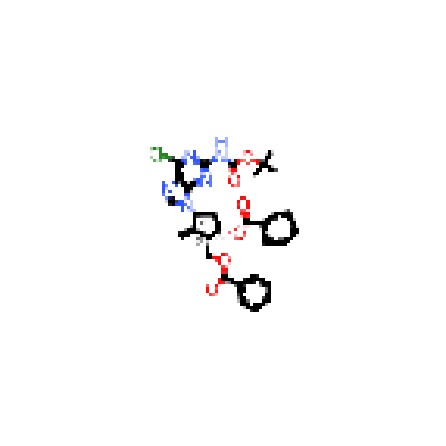 C=C1[C@H](COC(=O)c2ccccc2)[C@@H](OC(=O)c2ccccc2)C[C@@H]1n1cnc2c(Cl)nc(NC(=O)OC(C)(C)C)nc21